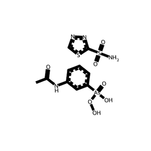 CC(=O)Nc1cccc([As](=O)(O)OO)c1.NS(=O)(=O)c1nncs1